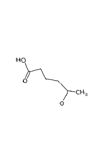 CC([O])CCCC(=O)O